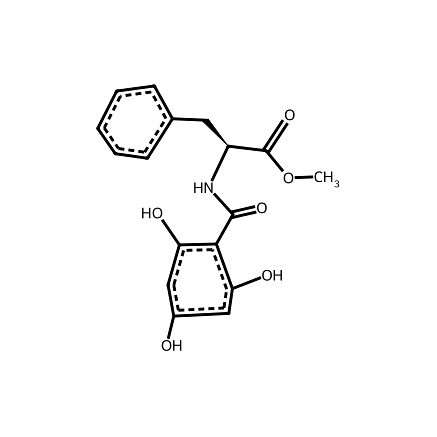 COC(=O)[C@H](Cc1ccccc1)NC(=O)c1c(O)cc(O)cc1O